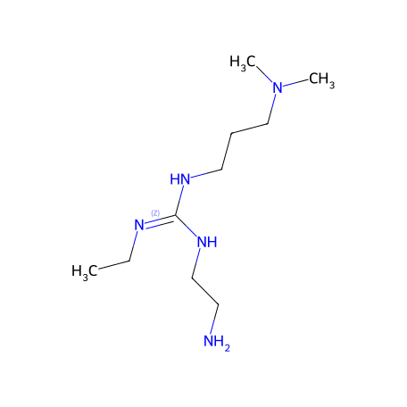 CC/N=C(\NCCN)NCCCN(C)C